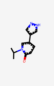 CC(C)n1cc(-c2cn[nH]c2)ccc1=O